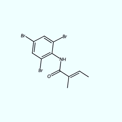 CC=C(C)C(=O)Nc1c(Br)cc(Br)cc1Br